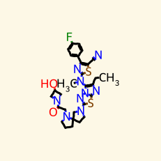 CCc1nc2sc(N3CCC4(CCCN4CC(=O)N4CC(O)C4)C3)nn2c1N(C)c1nc(-c2ccc(F)cc2)c(C#N)s1